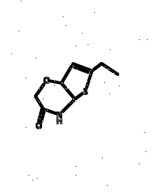 CCC1=CC2OCC(=O)NC2S1